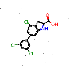 O=C(O)c1cc2c(Cl)cc(-c3cc(Cl)cc(Cl)c3)cc2[nH]1